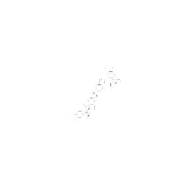 CCCCOc1cc([N+](=O)[O-])c(C(=O)Nc2ccc(S(=O)(=O)c3ccc(NC(=O)c4cc(OC)c(OCCCC)cc4[N+](=O)[O-])cc3)cc2)cc1OC